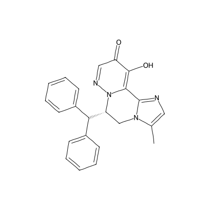 Cc1cnc2n1C[C@H](C(c1ccccc1)c1ccccc1)n1ncc(=O)c(O)c1-2